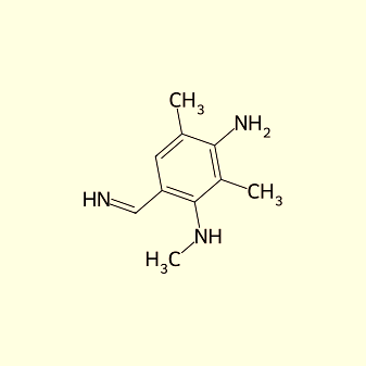 CNc1c(C=N)cc(C)c(N)c1C